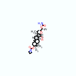 CC(C)[C@@H](OC(N)=O)[C@H]1C[C@@H](C)[C@H]2[C@H](O1)[C@H](O)[C@@]1(C)[C@@H]3CC[C@H]4C(C)(C)[C@@H](OC(=O)N5CCC5)CCC45C[C@@]35CC[C@]21C